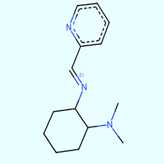 CN(C)C1CCCCC1/N=C/c1ccccn1